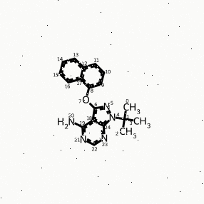 CC(C)(C)n1nc(Oc2cccc3ccccc23)c2c(N)ncnc21